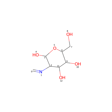 C=NC1C(O)OC(CO)C(O)C1O